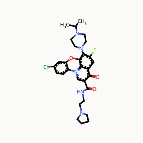 CC(C)N1CCN(c2c(F)cc3c(=O)c(C(=O)NCCN4CCCC4)cn4c3c2Oc2cc(Cl)ccc2-4)CC1